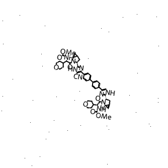 COC(=O)N[C@H](C(=O)N1C2CC2C[C@H]1c1nc(-c2ccc(-c3ccc(-c4c[nH]c([C@@H]5CC6=C[C@H]6N5C(=O)[C@@H](NC(=O)OC)C5CCOCC5)n4)cc3)cc2)c(C#N)[nH]1)C1CCOCC1